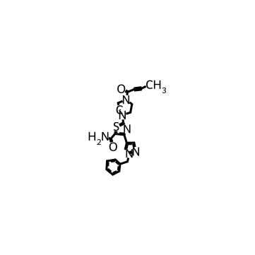 CC#CC(=O)N1CCN(c2nc(-c3cnn(Cc4ccccc4)c3)c(C(N)=O)s2)CC1